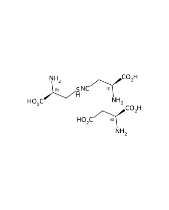 N#CC[C@H](N)C(=O)O.N[C@@H](CC(=O)O)C(=O)O.N[C@@H](CS)C(=O)O